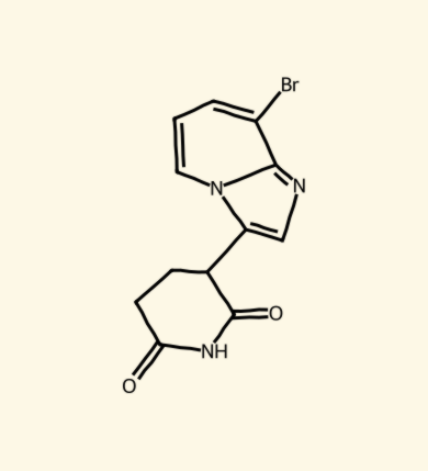 O=C1CCC(c2cnc3c(Br)cccn23)C(=O)N1